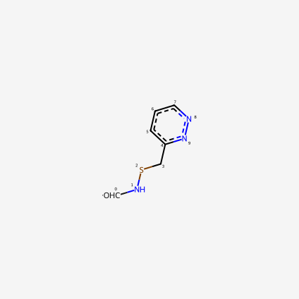 O=[C]NSCc1cccnn1